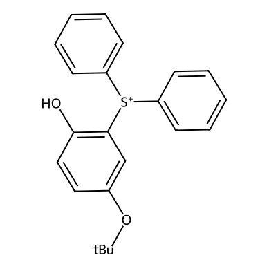 CC(C)(C)Oc1ccc(O)c([S+](c2ccccc2)c2ccccc2)c1